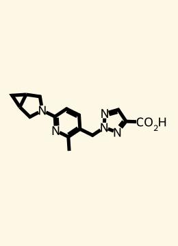 Cc1nc(N2CC3CC3C2)ccc1Cn1ncc(C(=O)O)n1